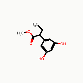 CCC(C(=O)OC)c1cc(O)cc(O)c1